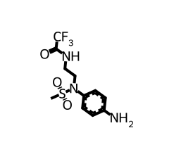 CS(=O)(=O)N(CCNC(=O)C(F)(F)F)c1ccc(N)cc1